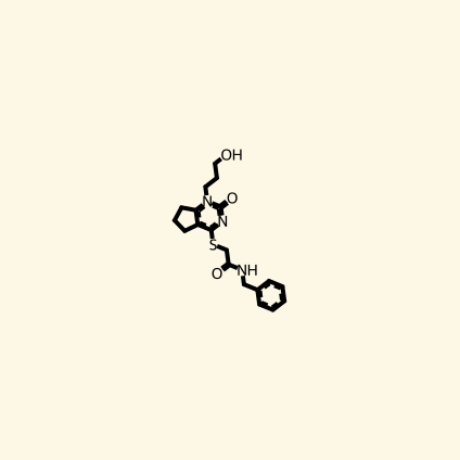 O=C(CSc1nc(=O)n(CCCO)c2c1CCC2)NCc1ccccc1